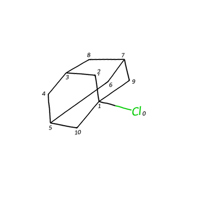 ClC12[CH]C3CC(CC(C3)C1)C2